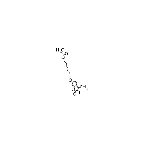 C=CC(=O)OCCCCCCCCCOc1ccc2c(C)c(F)c(=O)oc2c1